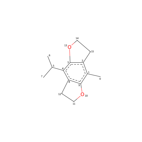 Cc1c2c(c(C(C)C)c3c1OCC3)OCC2